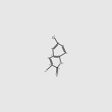 O=c1oc2ccc(Cl)cc2cc1I